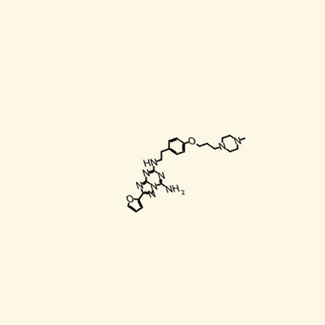 CN1CCN(CCCOc2ccc(CCNc3nc(N)n4nc(-c5ccco5)nc4n3)cc2)CC1